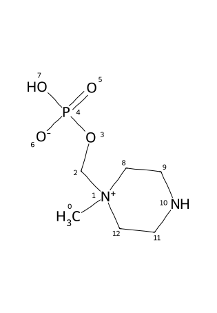 C[N+]1(COP(=O)([O-])O)CCNCC1